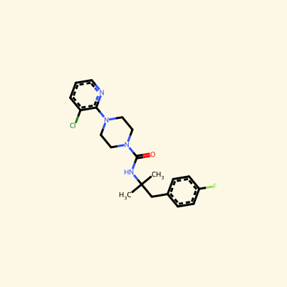 CC(C)(Cc1ccc(F)cc1)NC(=O)N1CCN(c2ncccc2Cl)CC1